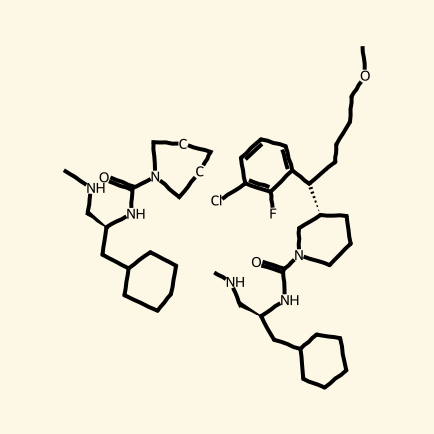 CNC[C@H](CC1CCCCC1)NC(=O)N1CCCCC1.CNC[C@H](CC1CCCCC1)NC(=O)N1CCC[C@@H](C(CCCCOC)c2cccc(Cl)c2F)C1